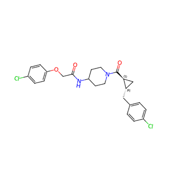 O=C(COc1ccc(Cl)cc1)NC1CCN(C(=O)[C@H]2C[C@@H]2Cc2ccc(Cl)cc2)CC1